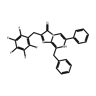 O=c1c(Cc2c(F)c(F)c(F)c(F)c2F)nc2c(Cc3ccccc3)[nH]c(-c3ccccc3)cn1-2